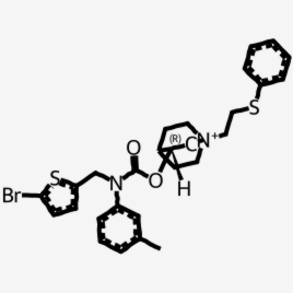 Cc1cccc(N(Cc2ccc(Br)s2)C(=O)O[C@H]2C[N+]3(CCSc4ccccc4)CCC2CC3)c1